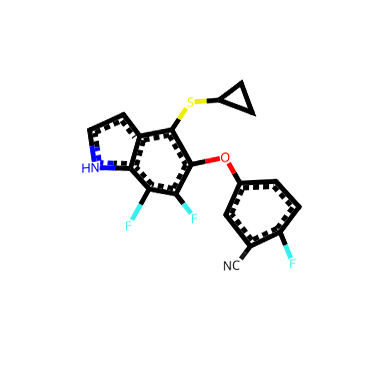 N#Cc1cc(Oc2c(F)c(F)c3[nH]ccc3c2SC2CC2)ccc1F